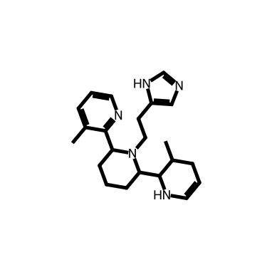 Cc1cccnc1C1CCCC(C2NC=CCC2C)N1CCc1cnc[nH]1